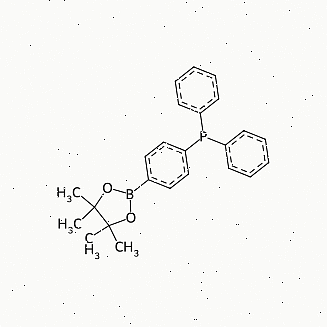 CC1(C)OB(c2ccc(P(c3ccccc3)c3ccccc3)cc2)OC1(C)C